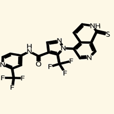 O=C(Nc1ccnc(C(F)(F)F)c1)c1cnn(-c2cncc3c(=S)[nH]ccc23)c1C(F)(F)F